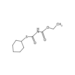 CCOC(=O)NC(=O)SC1CCCCC1